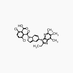 CCc1nc2c(C)c(C)c(C)nc2n1C1=CC2=CCN(C(=O)c3c(Cl)ccc(Cl)c3C(=O)O)C2C=C1